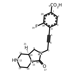 O=C(O)c1ccc(C#CCN2C[C@@H]3CNCCN3C2=O)c(F)c1